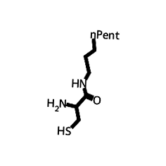 CCCCCCCCNC(=O)C(N)CS